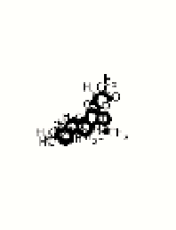 C=C(C)[C@@H]1CC[C@]2(C3OC(=O)C(C)(C)CC3=O)CC[C@]3(C)[C@H](CC[C@@H]4[C@@]5(C)CC[C@H](O)C(C)(C)[C@@H]5CC[C@]43C)[C@@H]12